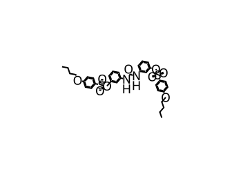 CCCCOc1ccc(S(=O)(=O)Oc2cccc(NC(=O)Nc3cccc(OS(=O)(=O)c4ccc(OCCCC)cc4)c3)c2)cc1